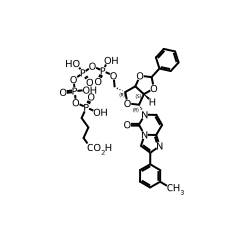 Cc1cccc(-c2cn3c(=O)n([C@@H]4O[C@H](COP(=O)(O)OP(=O)(O)OP(=O)(O)OP(=O)(O)CCCC(=O)O)C5OC(c6ccccc6)O[C@@H]54)ccc3n2)c1